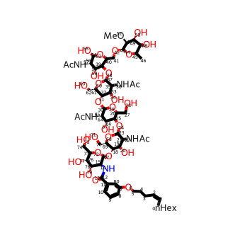 CCCCCC/C=C\CCCOc1cccc(C(=O)N[C@@H]2C(O[C@H]3C(O)C(NC(C)=O)C(OC4C(CO)OC(O[C@H]5C(O)C(NC(C)=O)C(OC6C(CO[C@@H]7OC(C)C(O)[C@H](O)[C@@H]7OC)OC(O)[C@@H](NC(C)=O)[C@H]6O)O[C@H]5CO)[C@@H](NC(C)=O)[C@H]4O)O[C@H]3CO)OC(CO)[C@@H](O)[C@@H]2O)c1